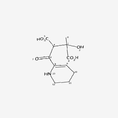 CC(O)(C(=O)O)C(C(=O)O)C(=O)C1=CCCCN1